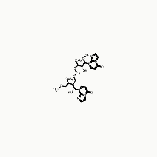 COC(OPOC[C@@H]([C@@H](O)n1ccc(=O)n2ccnc12)[C@@H](COP)OC)[C@@H](O)[C@@H](OS)n1ccc(=O)n2ccnc12